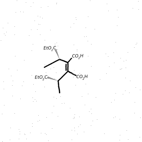 CCOC(=O)[C@@H](C)C(C(=O)O)=C(C(=O)O)[C@H](C)C(=O)OCC